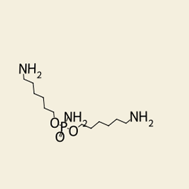 NCCCCCCOP(N)(=O)OCCCCCCN